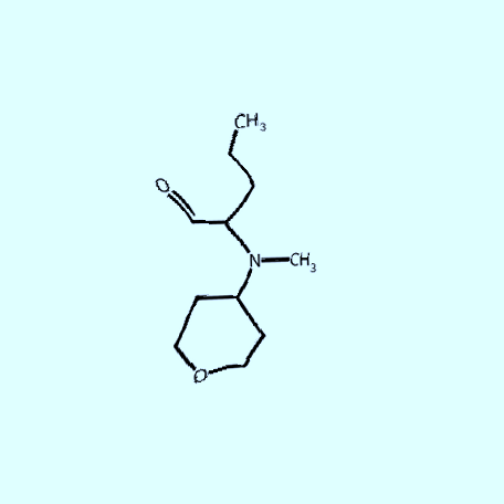 CCCC(C=O)N(C)C1CCOCC1